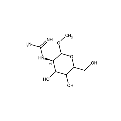 COC1OC(CO)C(O)C(O)[C@H]1NC(=N)N